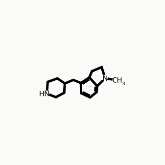 CN1CCc2c(CC3CCNCC3)cccc21